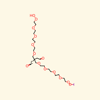 O=CCC(CC=O)(COCCOCCOCCOCCOO)COCCOCCOCCOCCOOI